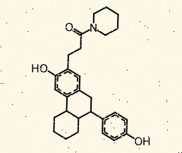 O=C(CCc1cc2c(cc1O)C1CCCCC1C(c1ccc(O)cc1)C2)N1CCCCC1